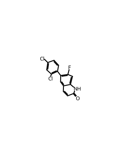 O=c1ccc2cc(-c3ccc(Cl)cc3Cl)c(F)cc2[nH]1